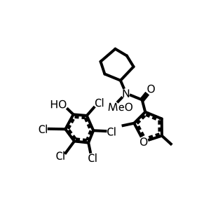 CON(C(=O)c1cc(C)oc1C)C1CCCCC1.Oc1c(Cl)c(Cl)c(Cl)c(Cl)c1Cl